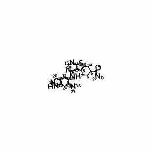 CN(C)C(=O)C1CCc2c(sc3ncnc(Nc4cc5cn[nH]c5cc4N(C)C)c23)C1